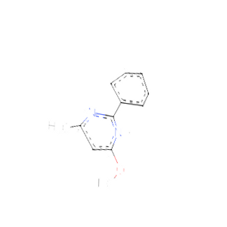 COc1cc(C)nc(-c2ccccc2)n1